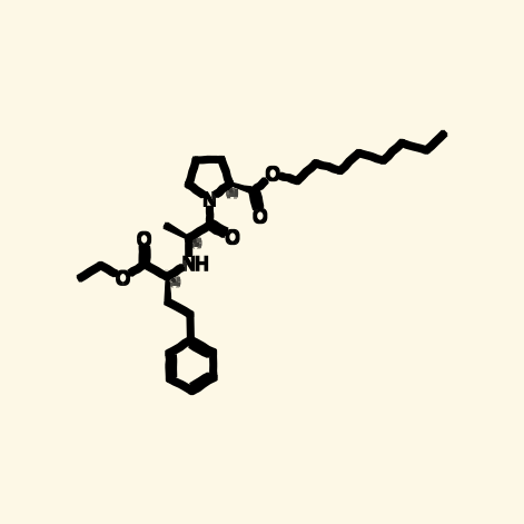 CCCCCCCCOC(=O)[C@@H]1CCCN1C(=O)[C@H](C)N[C@@H](CCc1ccccc1)C(=O)OCC